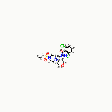 CCCS(=O)(=O)N1CCN(C2(CNC(=O)c3c(Cl)cccc3Cl)CCOCC2)CC1